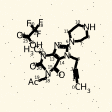 CC#CCn1c(N2CCNCC2)nc2c1c(=O)n(CC(C)=O)c(=O)n2C.O=C(O)C(F)(F)F